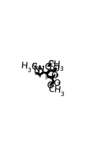 COC(=O)c1cc(-c2ccn(C)n2)c(OC)c(=O)o1